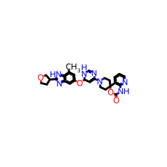 Cc1cc(OC2C=C(N3CCC4(CC3)OC(=O)Nc3ncccc34)N=CN2)cc2nc(C3CCOC3)[nH]c12